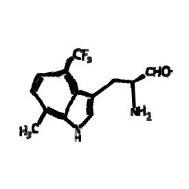 Cc1ccc(C(F)(F)F)c2c(C[C@H](N)[C]=O)c[nH]c12